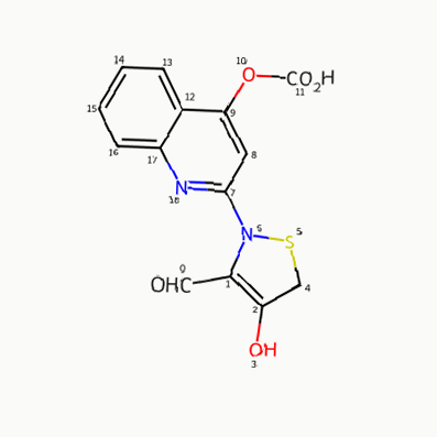 O=CC1=C(O)CSN1c1cc(OC(=O)O)c2ccccc2n1